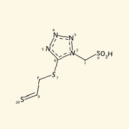 O=S(=O)(O)Cn1nnnc1SCC=S